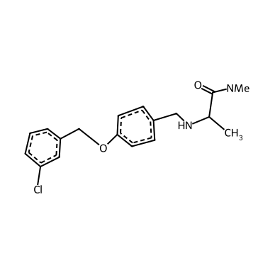 CNC(=O)C(C)NCc1ccc(OCc2cccc(Cl)c2)cc1